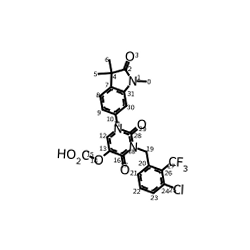 CN1C(=O)C(C)(C)c2ccc(-n3cc(OC(=O)O)c(=O)n(Cc4cccc(Cl)c4C(F)(F)F)c3=O)cc21